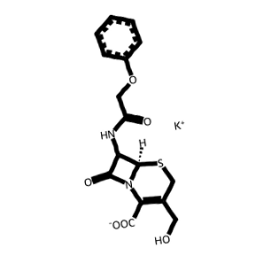 O=C(COc1ccccc1)NC1C(=O)N2C(C(=O)[O-])=C(CO)CS[C@H]12.[K+]